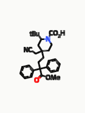 COC(=O)C(CCC1(CC#N)CCN(C(=O)O)C(C(C)(C)C)C1)(c1ccccc1)c1ccccc1